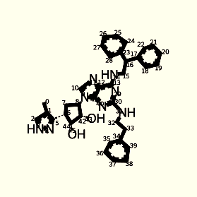 Cc1c[nH]nc1[C@@H]1C[C@@H](n2cnc3c(NCC(c4ccccc4)c4ccccc4)nc(NCCc4ccccc4)nc32)[C@H](O)[C@@H]1O